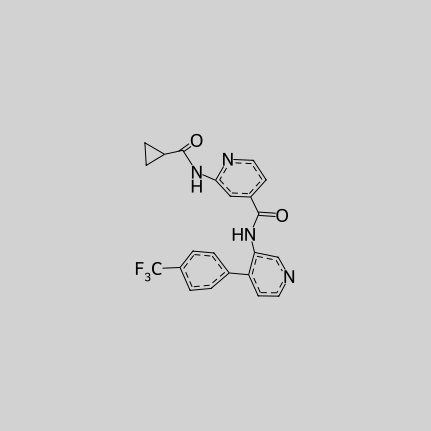 O=C(Nc1cnccc1-c1ccc(C(F)(F)F)cc1)c1ccnc(NC(=O)C2CC2)c1